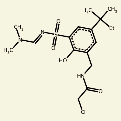 CCC(C)(C)c1cc(CNC(=O)CCl)c(O)c(S(=O)(=O)N=CN(C)C)c1